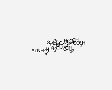 CC(=O)NCCN(CC[C@@]12CC[C@]3(C)[C@H](CCC4[C@@]5(C)CC[C@H](OC(=O)CC(C)(C)C(=O)O)C(C)(C)C5CC[C@]43C)C1=C(C(C)C)C(=O)C2)CC1CC1